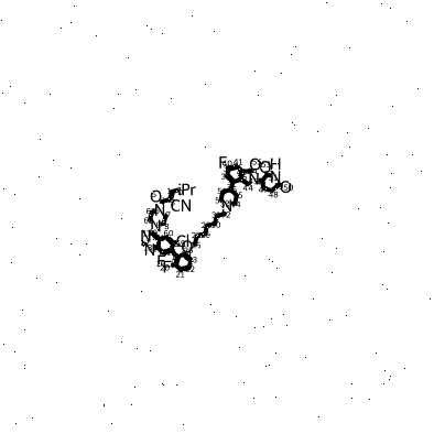 CC(C)/C=C(\C#N)C(=O)N1CCN(c2ncnc3c(F)c(-c4c(F)cccc4OCCCCCCCN4CCC(c5cc(F)cc6c5CN(C5CCC(=O)NC5=O)C6=O)CC4)c(Cl)cc23)CC1